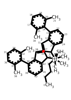 CCC[CH2][Hf]([CH3])([CH3])([CH3])(=[SiH2])([CH]1C=Cc2c(-c3c(C)cccc3C)cccc21)[CH]1C=Cc2c(-c3c(C)cccc3C)cccc21